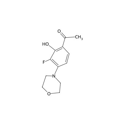 CC(=O)c1ccc(N2CCOCC2)c(F)c1O